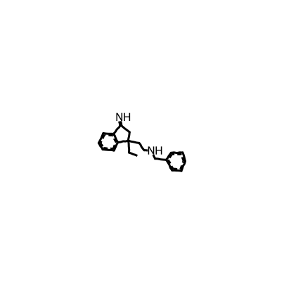 CCC1(CCNCc2ccccc2)CC(=N)c2ccccc21